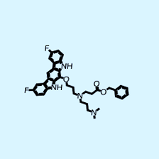 CN(C)CCCN(CCCOc1c2[nH]c3ccc(F)cc3c2cc2c1[nH]c1ccc(F)cc12)CCC(=O)OCc1ccccc1